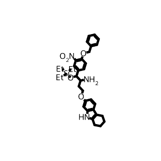 CC[Si](CC)(CC)OC(c1ccc(OCc2ccccc2)c([N+](=O)[O-])c1)C(N)CCOc1ccc2c3c([nH]c2c1)CCCC3